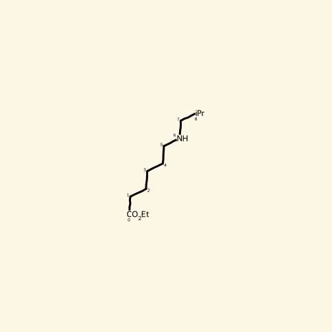 CCOC(=O)CCCCCNCC(C)C